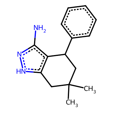 CC1(C)Cc2[nH]nc(N)c2C(c2ccccc2)C1